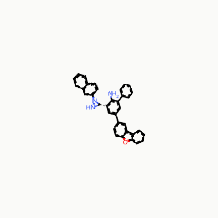 Nc1c(-c2ccccc2)cc(-c2ccc3oc4ccccc4c3c2)cc1[C@@H]1NN1c1ccc2ccccc2c1